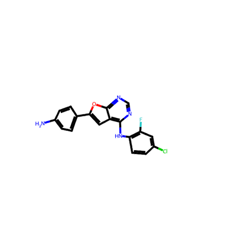 Nc1ccc(-c2cc3c(Nc4ccc(Cl)cc4F)ncnc3o2)cc1